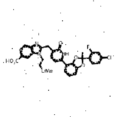 COCCn1c(Cc2ccc(-c3cccc4c3OC(C)(c3ccc(Cl)cc3F)O4)[nH]c2=O)nc2ccc(C(=O)O)cc21